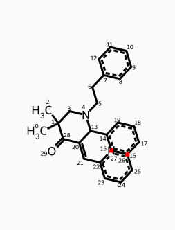 CC1(C)CN(CCc2ccccc2)C(c2ccccc2)/C(=C\c2ccccn2)C1=O